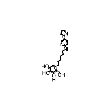 OC[C@@H]1[C@@H](O)[C@H](O)[C@@H](O)CN1CCCCCCNc1ccc(-n2cccn2)cn1